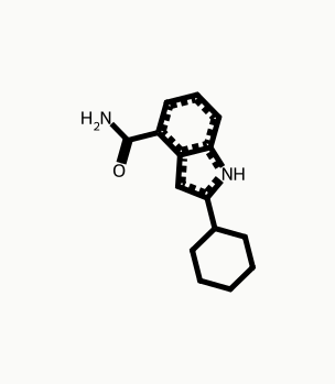 NC(=O)c1cccc2[nH]c(C3CCCCC3)cc12